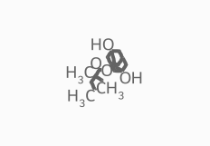 CCCC(C)(CC)C(=O)OC12CC3CC(O)(CC(O)(C3)C1)C2